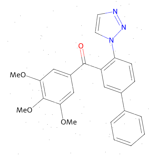 COc1cc(C(=O)c2cc(-c3ccccc3)ccc2-n2ccnn2)cc(OC)c1OC